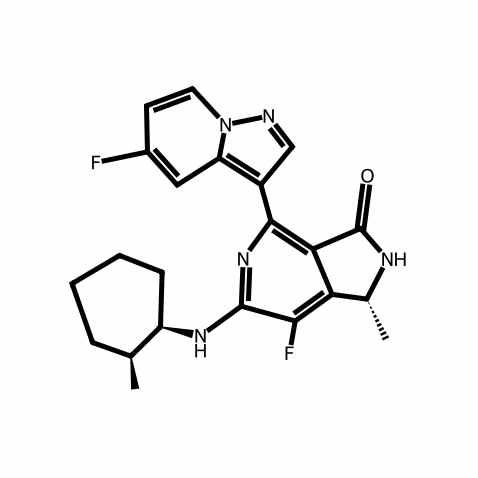 C[C@H]1NC(=O)c2c(-c3cnn4ccc(F)cc34)nc(N[C@@H]3CCCC[C@@H]3C)c(F)c21